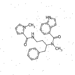 CN(C(=O)c1cccc2[nH]ccc12)C(CCNC(=O)c1cccn1C)Cc1ccccc1